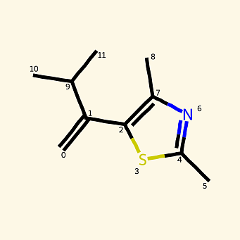 C=C(c1sc(C)nc1C)C(C)C